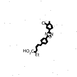 CCC(C/C=C\Cc1ccc(-c2nc(-c3ccc(C)c(Cl)c3)no2)cc1)C(=O)O